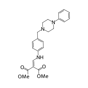 COC(=O)C(=CNc1ccc(CN2CCN(c3ccccc3)CC2)cc1)C(=O)OC